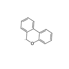 [CH]1Oc2ccccc2-c2ccccc21